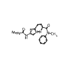 CNC(=O)Nc1cn2nc(C(=O)N(C)c3ccccc3)ccc2n1